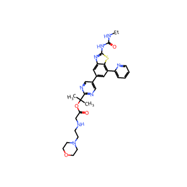 CCNC(=O)Nc1nc2cc(-c3cnc(C(C)(C)OC(=O)CNCCN4CCOCC4)nc3)cc(-c3ccccn3)c2s1